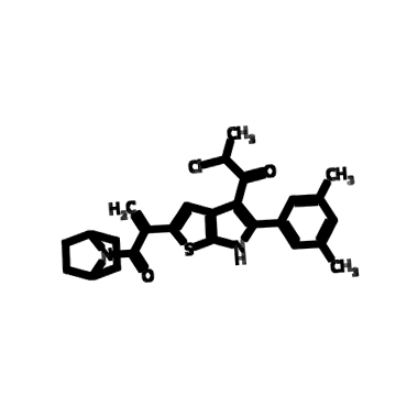 C=C(C(=O)N1C2CCC1CC2)c1cc2c(C(=O)C(C)Cl)c(-c3cc(C)cc(C)c3)[nH]c2s1